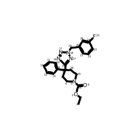 CCOC(=O)N1CCC(c2ccccc2)(c2nnn(Cc3cccc(F)c3)n2)CC1